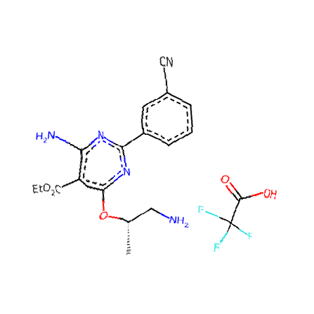 CCOC(=O)c1c(N)nc(-c2cccc(C#N)c2)nc1O[C@@H](C)CN.O=C(O)C(F)(F)F